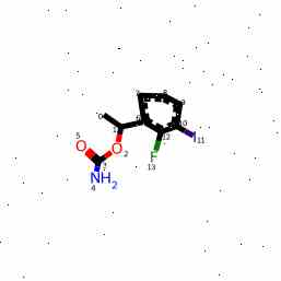 CC(OC(N)=O)c1cccc(I)c1F